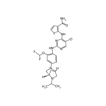 CC(C)N1C[C@@H]2C[C@H]1CN2c1ccc(Nc2ncc(Cl)c(Nc3sccc3C(N)=O)n2)c(OC(F)F)c1